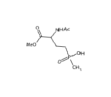 COC(=O)C(CCP(C)(=O)O)NC(C)=O